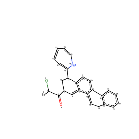 CCC(Cl)C(=O)C1C=c2c(ccc3c2=CCc2ccccc2-3)C(C2=CC=CC=CN2)C1